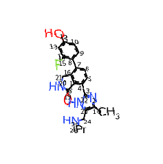 Cc1nc(-c2ccc(-c3ccc(O)cc3F)c3c2C(=O)NC3)[nH]c1CNC(C)C